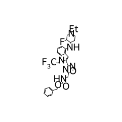 CCN1CC[C@@H](Nc2cccc3c2cc(-c2noc(CNC(=O)OCc4ccccc4)n2)n3CC(F)(F)F)[C@@H](F)C1